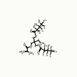 C=C(C)C(=O)OCC(CC)(COC(=O)C(F)(F)C(F)(F)C(F)(F)F)COC(=O)C(F)(F)C(F)(F)C(F)(F)F